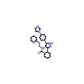 O=C(NCCc1ccccn1)c1ccccc1-c1cc(-c2ccc(-n3ccnc3)cc2)[nH]n1